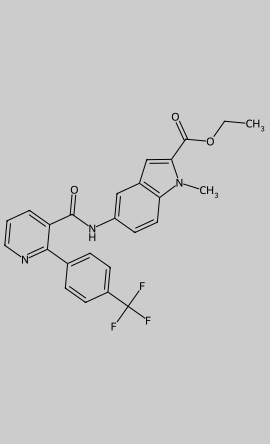 CCOC(=O)c1cc2cc(NC(=O)c3cccnc3-c3ccc(C(F)(F)F)cc3)ccc2n1C